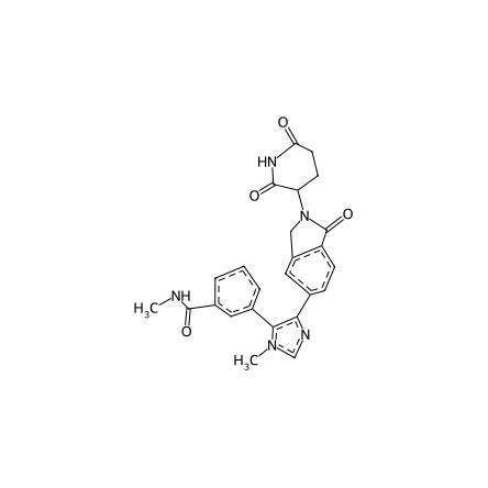 CNC(=O)c1cccc(-c2c(-c3ccc4c(c3)CN(C3CCC(=O)NC3=O)C4=O)ncn2C)c1